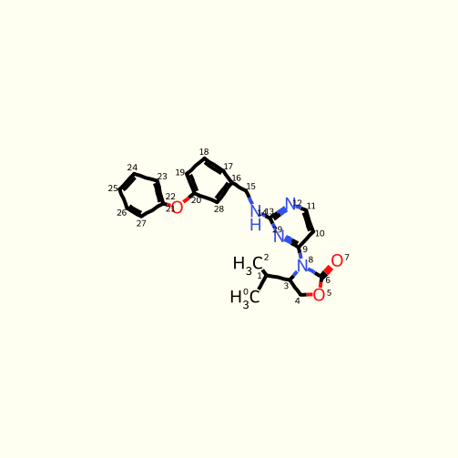 CC(C)C1COC(=O)N1c1ccnc(NCc2cccc(Oc3ccccc3)c2)n1